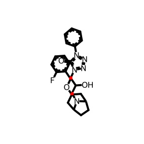 O=c1n(CC(O)CN2C3CCC2CC(OCc2ccccc2F)C3)nnn1-c1ccccc1